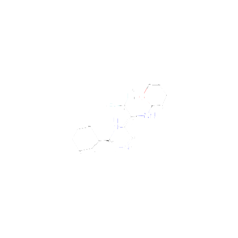 C=C(N/C(C=N)=C(/NC1CCCCO1)C(F)F)C1CCCCC1